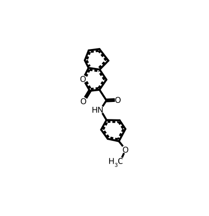 COc1ccc(NC(=O)c2cc3ccccc3oc2=O)cc1